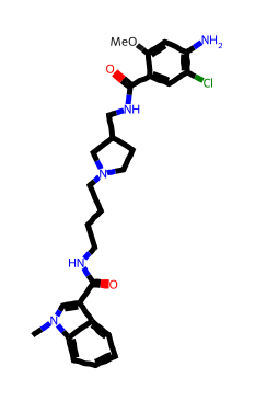 COc1cc(N)c(Cl)cc1C(=O)NCC1CCN(CCCCNC(=O)c2cn(C)c3ccccc23)C1